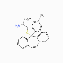 Cc1ccc(C2(SCC(N)C(=O)O)c3ccccc3C=Cc3ccccc32)cc1